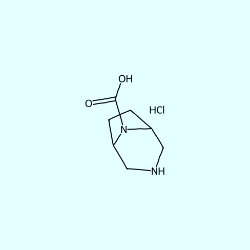 Cl.O=C(O)N1C2CCC1CNC2